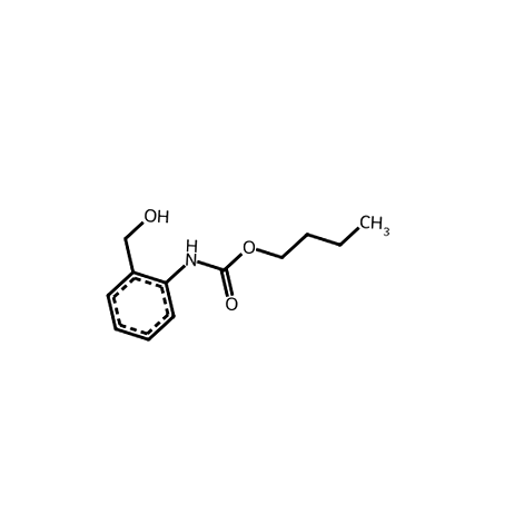 CCCCOC(=O)Nc1ccccc1CO